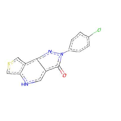 O=c1c2c[nH]c3cscc3c-2nn1-c1ccc(Cl)cc1